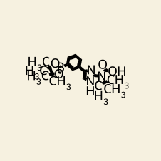 CC(C)(C)N(C(=O)O)c1nc(-c2cccc(B3OC(C)(C)C(C)(C)O3)c2)c[nH]1